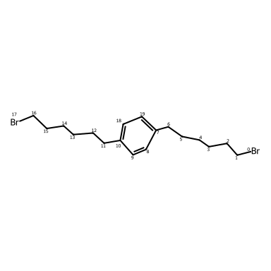 BrCCCCCCc1ccc(CCCCCCBr)cc1